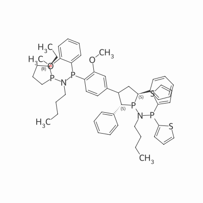 CCCCN(P(c1ccccc1OC)c1ccc(C2C[C@@H](c3ccccc3)P(N(CCCC)P(c3cccs3)c3cccs3)[C@@H]2c2ccccc2)cc1OC)P1CCC[C@H]1CC